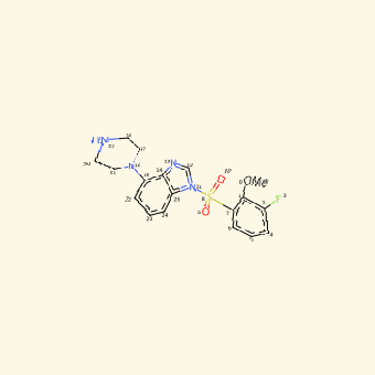 COc1c(F)cccc1S(=O)(=O)n1cnc2c(N3CCNCC3)cccc21